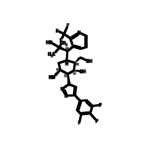 CC(C)(O)[C@@H](c1cccnc1C(F)(F)F)[SH]1C[C@H](O)[C@H](n2cc(-c3cc(F)c(F)c(F)c3)nn2)[C@@H](O)[C@H]1CO